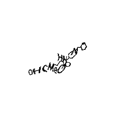 COC(=O)C(CCCCCCC=O)NCC1CCN(Cc2ccccc2)CC1